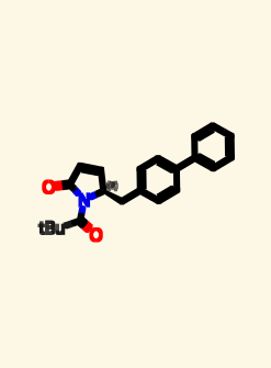 CC(C)(C)C(=O)N1C(=O)C=C[C@H]1Cc1ccc(-c2ccccc2)cc1